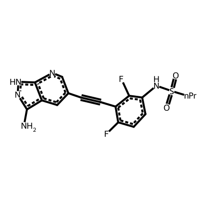 CCCS(=O)(=O)Nc1ccc(F)c(C#Cc2cnc3[nH]nc(N)c3c2)c1F